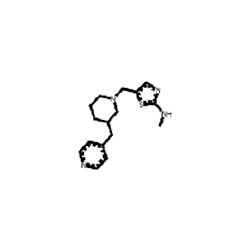 CNc1ncc(CN2CCCC(Cc3ccncc3)C2)s1